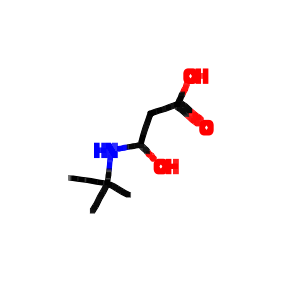 CC(C)(C)NC(O)CC(=O)O